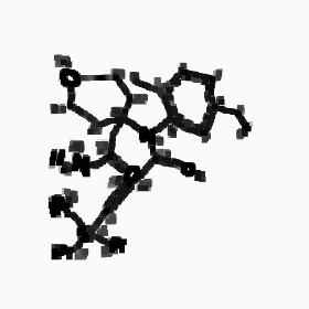 Cc1ccc(CF)cc1N(C(=O)C#C[Si](C(C)C)(C(C)C)C(C)C)C1(C(N)=O)CCOCC1